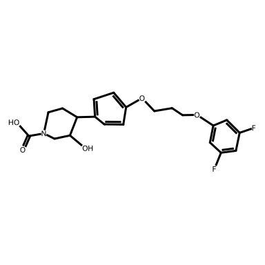 O=C(O)N1CCC(c2ccc(OCCCOc3cc(F)cc(F)c3)cc2)C(O)C1